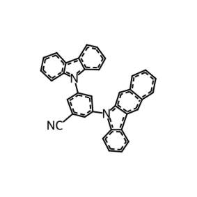 N#Cc1cc(-n2c3ccccc3c3ccccc32)cc(-n2c3ccccc3c3cc4ccccc4cc32)c1